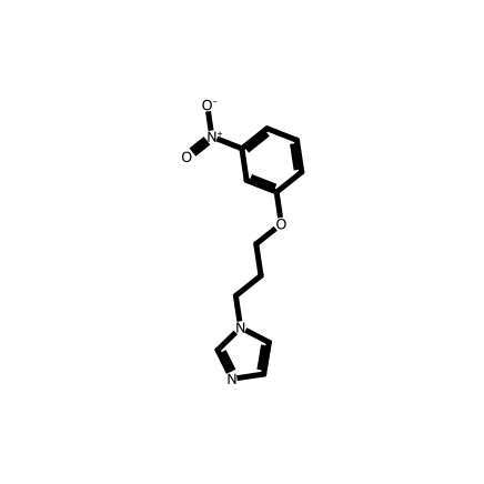 O=[N+]([O-])c1cccc(OCCCn2ccnc2)c1